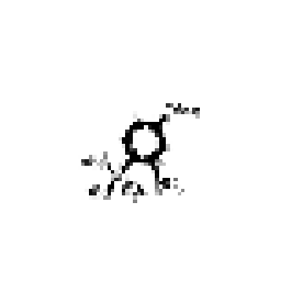 CCC[CH2][Sn]([CH2]CCC)([CH2]CCC)[c]1ccc(OC)cc1[N+](=O)[O-]